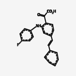 O=C(O)C(=O)c1ccc(/C=C/c2ccccc2)cc1Nc1ccc(F)cc1